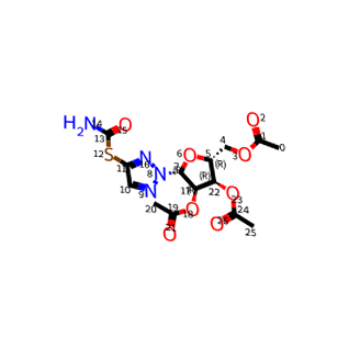 CC(=O)OC[C@H]1O[C@@H](n2ncc(SC(N)=O)n2)[C@H](OC(C)=O)[C@@H]1OC(C)=O